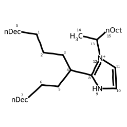 CCCCCCCCCCCCCC(CCCCCCCCCCCC)c1[nH]cc[n+]1C(C)CCCCCCCC